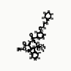 CC(C)OC(=O)C1=CN(C(=O)c2cccc(OCCCN3CCCCC3)c2)CC(C)(C)c2c1[nH]c1ccccc21